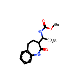 CCOC(=O)C(NC(=O)OC(C)(C)C)C1CCc2ccccc2NC1=O